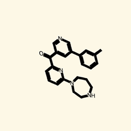 Cc1cccc(-c2cncc(C(=O)c3cccc(N4CCCNCC4)n3)c2)c1